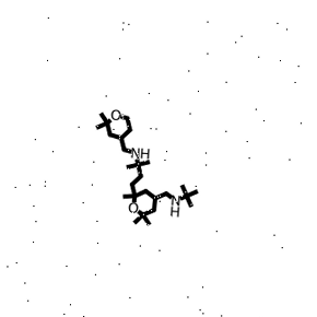 CC(C)(C)NCC1CC(C)(C)OC(C)(CCC(C)(C)NCC2CCOC(C)(C)C2)C1